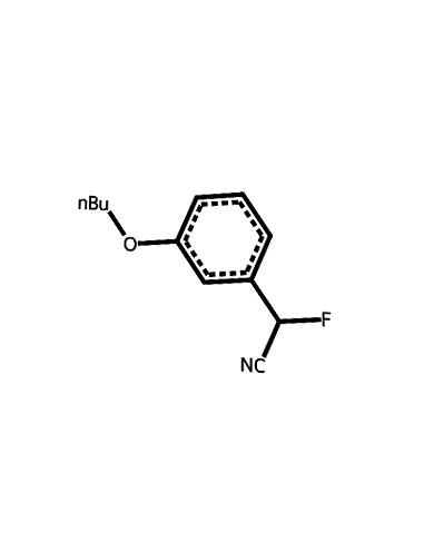 CCCCOc1cccc(C(F)C#N)c1